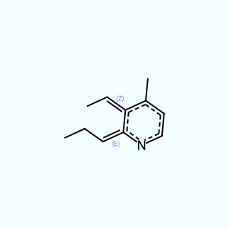 C/C=c1/c(C)ccn/c1=C/CC